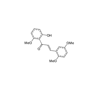 COc1ccc(OC)c(/C=C/C(=O)c2c(O)cccc2OC)c1